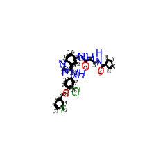 O=C(CCNC(=O)C1=CCCC1)Nc1ccc2ncnc(Nc3ccc(OCc4cccc(F)c4)c(Cl)c3)c2c1